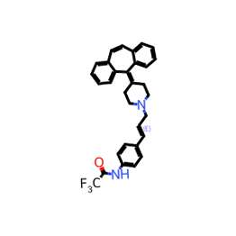 O=C(Nc1ccc(/C=C/CN2CCC(=C3c4ccccc4C=Cc4ccccc43)CC2)cc1)C(F)(F)F